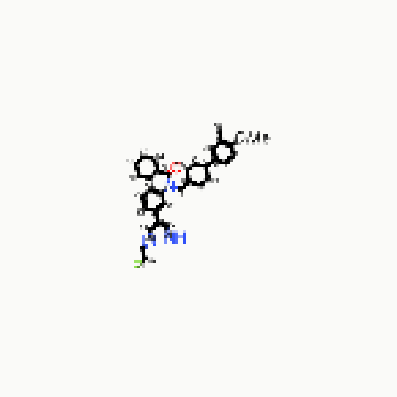 COc1ccc(C2CCC(CN(C(=O)C3CCCCC3)c3cccc(/C(C=N)=C/NCCF)c3)CC2)cc1C